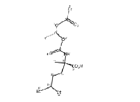 CCC(=O)O[C@@H](C)OC(=O)N[C@@](C)(CCC(CC)CC)C(=O)O